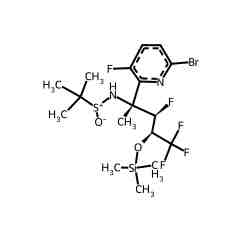 CC(C)(C)[S+]([O-])N[C@](C)(c1nc(Br)ccc1F)[C@@H](F)[C@H](O[Si](C)(C)C)C(F)(F)F